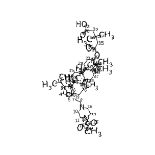 C=C(C)[C@@H]1CC[C@]2(CCN3CCN(S(C)(=O)=O)CC3)CC[C@]3(C)[C@H](CC[C@@H]4[C@@]5(C)CC[C@H](OC(=O)CC(C)(C)CC(=O)O)C(C)(C)[C@@H]5CC[C@]43C)[C@@H]12